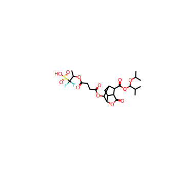 CC(C)OC(OC(=O)C1C2CC3C(OC(=O)C31)C2OC(=O)CCC(=O)OC(C)C(F)(F)S(=O)(=O)O)C(C)C